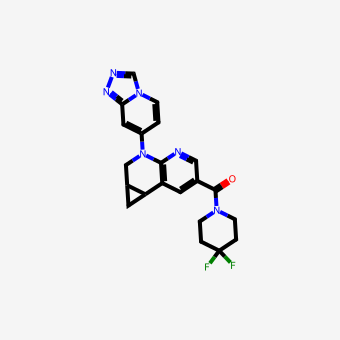 O=C(c1cnc2c(c1)C1CC1CN2c1ccn2cnnc2c1)N1CCC(F)(F)CC1